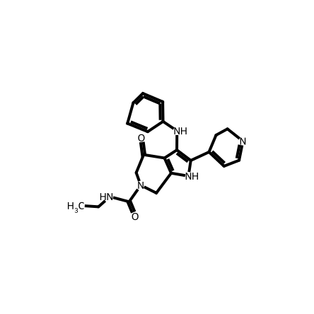 CCNC(=O)N1CC(=O)c2c([nH]c(C3=CC=NCC3)c2NC2=C=C=CC=C2)C1